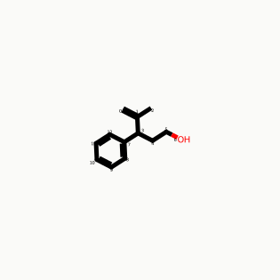 C=C(C)C(CCO)c1ccccc1